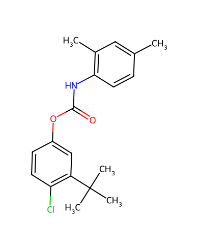 Cc1ccc(NC(=O)Oc2ccc(Cl)c(C(C)(C)C)c2)c(C)c1